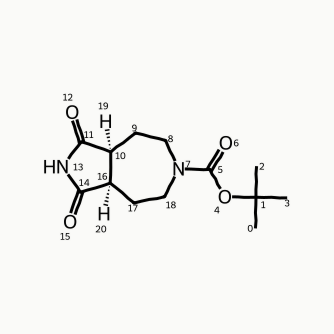 CC(C)(C)OC(=O)N1CC[C@@H]2C(=O)NC(=O)[C@@H]2CC1